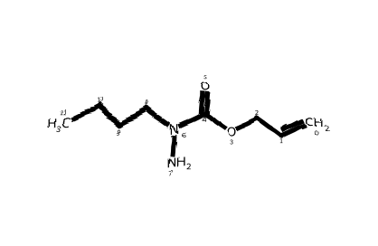 C=CCOC(=O)N(N)CCCC